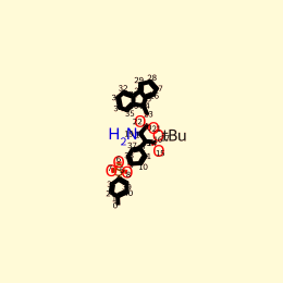 Cc1ccc(S(=O)(=O)Oc2ccc(C(C(=O)OC(C)(C)C)C(N)C(=O)OCC3c4ccccc4-c4ccccc43)cc2)cc1